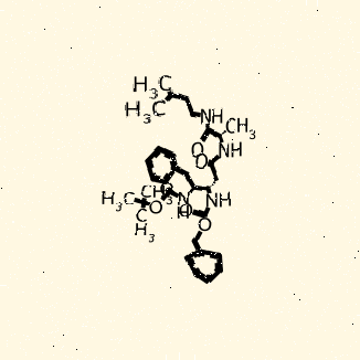 CC(C)CCNC(=O)[C@H](C)NC(=O)C[C@H](NC(=O)OCc1ccccc1)C(Cc1ccccc1)NC(=O)OC(C)(C)C